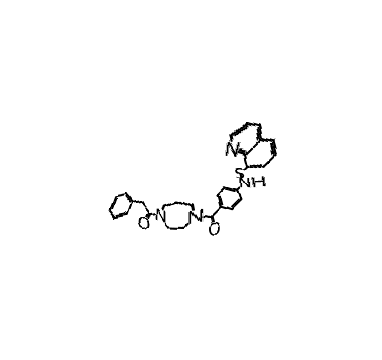 O=C(Cc1ccccc1)N1CCCN(C(=O)c2ccc(NSc3cccc4cccnc34)cc2)CC1